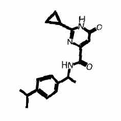 CC(C)c1ccc(C(C)NC(=O)c2cc(=O)[nH]c(C3CC3)n2)cc1